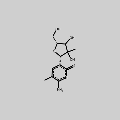 Cc1cn([C@@H]2O[C@H](CO)C(O)C2(C)O)c(=S)nc1N